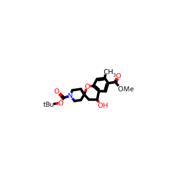 COC(=O)c1cc2c(cc1C)OC1(CCN(C(=O)OC(C)(C)C)CC1)CC2O